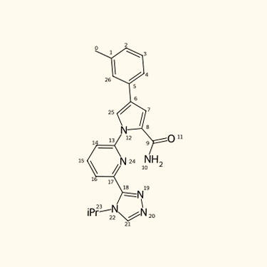 Cc1cccc(-c2cc(C(N)=O)n(-c3cccc(-c4nncn4C(C)C)n3)c2)c1